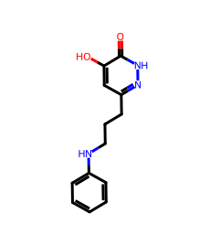 O=c1[nH]nc(CCCNc2ccccc2)cc1O